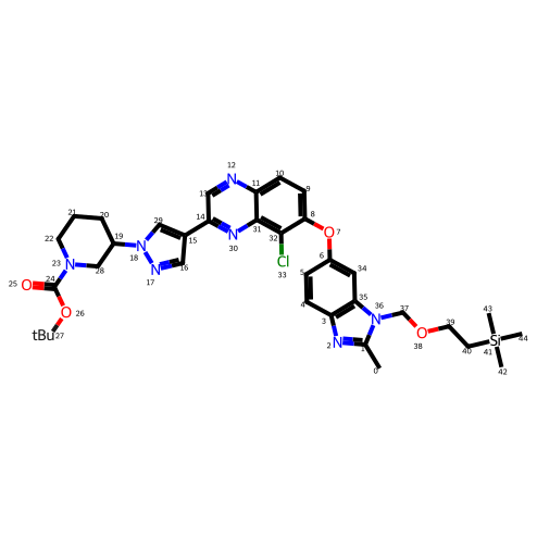 Cc1nc2ccc(Oc3ccc4ncc(-c5cnn(C6CCCN(C(=O)OC(C)(C)C)C6)c5)nc4c3Cl)cc2n1COCC[Si](C)(C)C